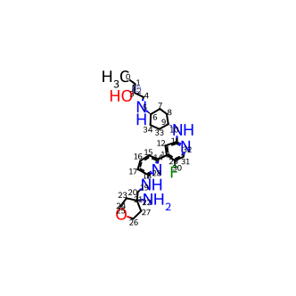 C/C=C(\O)CN[C@H]1CC[C@H](Nc2cc(-c3cccc(NCC4(N)CCOCC4)n3)c(F)cn2)CC1